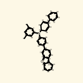 Cc1cc(C)cc(N(c2ccc(-c3ccc4c(c3)oc3ccccc34)cc2)C2C=CC(c3ccccc3)=CC2)c1